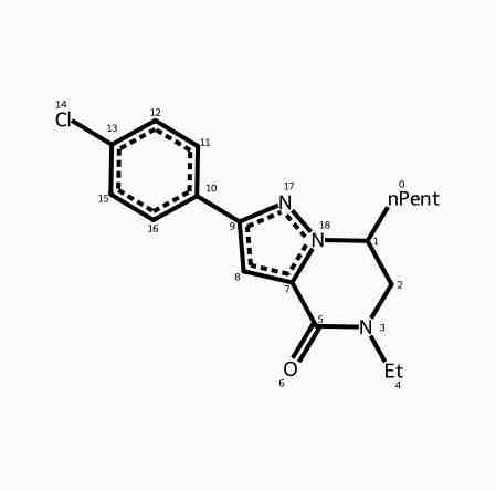 CCCCCC1CN(CC)C(=O)c2cc(-c3ccc(Cl)cc3)nn21